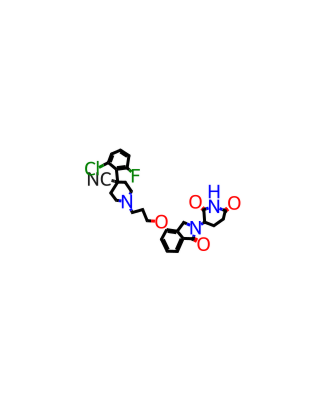 N#CC1(c2c(F)cccc2Cl)CCN(CCCOc2cccc3c2CN(C2CCC(=O)NC2=O)C3=O)CC1